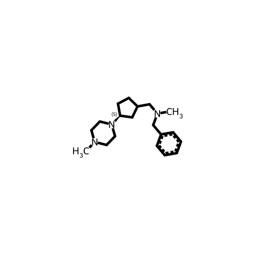 CN1CCN([C@H]2CCC(CN(C)Cc3ccccc3)C2)CC1